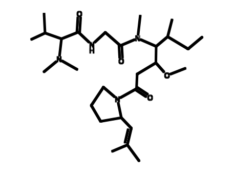 CCC(C)C(C(CC(=O)N1CCCC1C=C(C)C)OC)N(C)C(=O)CNC(=O)C(C(C)C)N(C)C